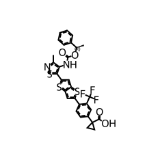 Cc1nsc(-c2cc3sc(-c4ccc(C5(C(=O)O)CC5)cc4C(F)(F)F)cc3s2)c1NC(=O)O[C@H](C)c1ccccc1